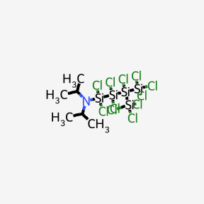 CC(C)N(C(C)C)[Si](Cl)(Cl)[Si](Cl)(Cl)[Si](Cl)([Si](Cl)(Cl)Cl)[Si](Cl)(Cl)Cl